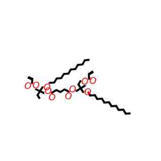 C=CC(=O)OCC(CC)(COCCCCCCCCCCCC)COC(=O)CCCC(=O)OCC(CC)(COCCCCCCCCCCCC)COC(=O)C=C